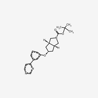 CC(C)(C)OC(=O)N1C[C@H]2C[C@H](Oc3cccc(-c4ccncn4)c3)C[C@H]2C1